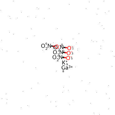 O=[N+]([O-])[O-].O=[N+]([O-])[O-].O=[N+]([O-])[O-].O=[N+]([O-])[O-].[Ga+3].[K+]